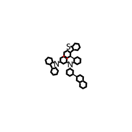 c1cc(-c2ccc3ccccc3c2)cc(N(c2cccc(-n3c4ccccc4c4ccccc43)c2)c2ccccc2-c2cccc3sc4ccccc4c23)c1